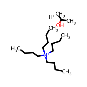 CC(C)O.CCCC[N+](CCCC)(CCCC)CCCC.[H+]